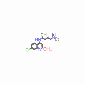 CCN(CC)CCCC(C)Nc1ccnc2cc(Cl)ccc12.O